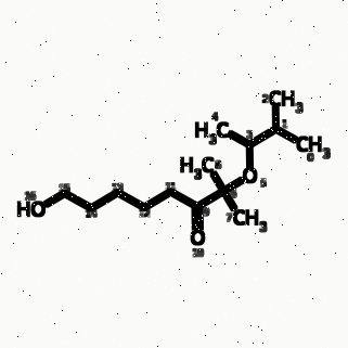 CC(C)C(C)OC(C)(C)C(=O)CCCCCO